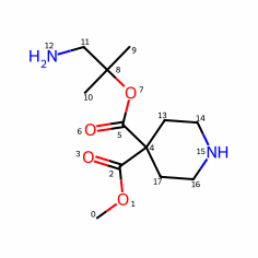 COC(=O)C1(C(=O)OC(C)(C)CN)CCNCC1